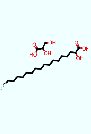 CCCCCCCCCCCCCCCCC(O)C(=O)O.O=C(O)C(O)CO